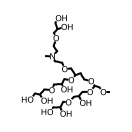 COCC(OCCC(COCCN(C)CCOCC(O)CO)OCC(O)COCC(O)CO)OCC(O)COCC(O)CO